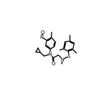 Cc1cc(C)c(SN(C)CC(=O)N(CC2CC2)c2ccc(C)c(N=O)c2)c(C)c1